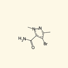 Cc1nn(C)c(C(N)=O)c1Br